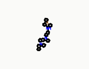 c1cc(-n2c3ccccc3c3c4ccccc4ccc32)c2cc3c4ccccc4n(-c4ccc5cc(-c6nc(-c7cccc8c7sc7ccccc78)c7ccccc7n6)ccc5c4)c3cc2c1